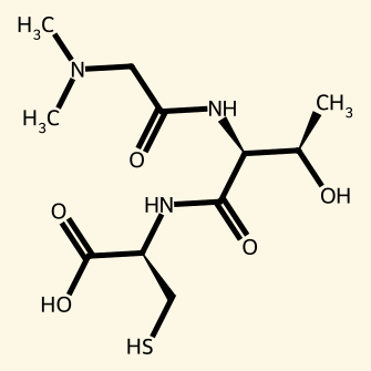 C[C@@H](O)[C@H](NC(=O)CN(C)C)C(=O)N[C@@H](CS)C(=O)O